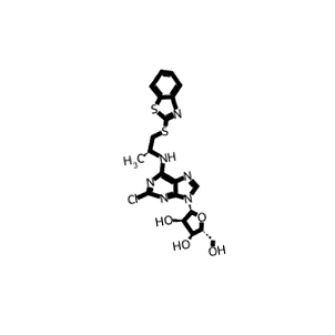 C[C@H](CSc1nc2ccccc2s1)Nc1nc(Cl)nc2c1ncn2[C@@H]1O[C@H](CO)[C@@H](O)[C@H]1O